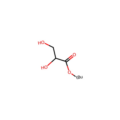 CC(C)(C)OC(=O)C(O)CO